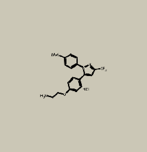 CSc1ccc(-n2nc(C(F)(F)F)cc2-c2ccc(OCCN)cc2)cc1.Cl